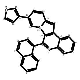 c1ccc2c(-c3nc4ccccc4c4cc5ccc(-c6ccoc6)cn5c34)cccc2c1